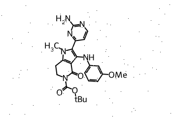 COc1cccc(Nc2c3c(n(C)c2-c2ccnc(N)n2)CCN(C(=O)OC(C)(C)C)C3=O)c1